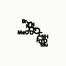 COC(=O)c1nc(Br)cnc1N1CCC(C)(C(CF)NC(=O)OC(C)(C)C)CC1